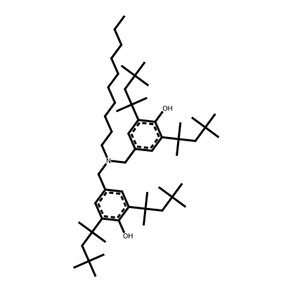 CCCCCCCCCCN(Cc1cc(C(C)(C)CC(C)(C)C)c(O)c(C(C)(C)CC(C)(C)C)c1)Cc1cc(C(C)(C)CC(C)(C)C)c(O)c(C(C)(C)CC(C)(C)C)c1